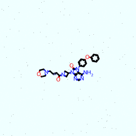 Nc1ncnc2c1n(-c1ccc(Oc3ccccc3)cc1)c(=O)n2C1CN(C(=O)/C=C/CN2CCOCC2)C1